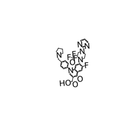 O=C(O)c1cn(-c2ccc(CN3CCCC3)cc2)c2c(OC(F)(F)F)c(N3CCN(c4ncccn4)CC3)c(F)cc2c1=O